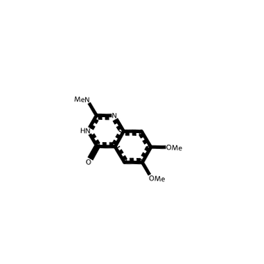 CNc1nc2cc(OC)c(OC)cc2c(=O)[nH]1